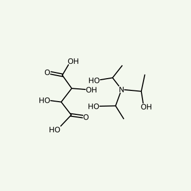 CC(O)N(C(C)O)C(C)O.O=C(O)C(O)C(O)C(=O)O